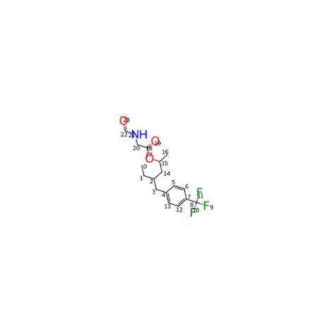 CCC(Cc1ccc(C(F)(F)F)cc1)CC(C)OC(=O)CNC=O